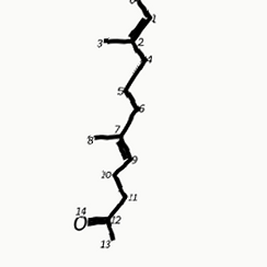 C/C=C(\C)CCC/C(C)=C/CCC(C)=O